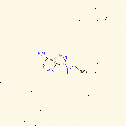 CNCNn1nnc2c(N)ccnc21